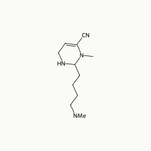 CNCCCCC1NCC=C(C#N)N1C